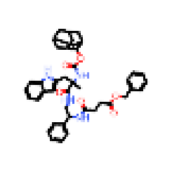 CC(Cc1cc2ccccc2[nH]1)(NC(=O)OC1C2CC3CC(C2)CC1C3)C(=O)NCC(NC(=O)CCC(=O)OCc1ccccc1)c1ccccc1